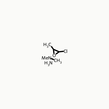 CC1OC1Cl.CNC.N